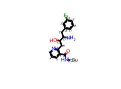 CC(C)(C)NC(=O)c1cccnc1CC(O)C(N)Cc1cccc(F)c1